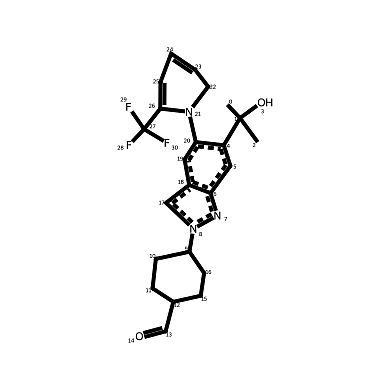 CC(C)(O)c1cc2nn(C3CCC(C=O)CC3)cc2cc1N1CC=CC=C1C(F)(F)F